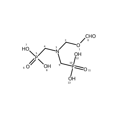 O=COCN(CP(=O)(O)O)CP(=O)(O)O